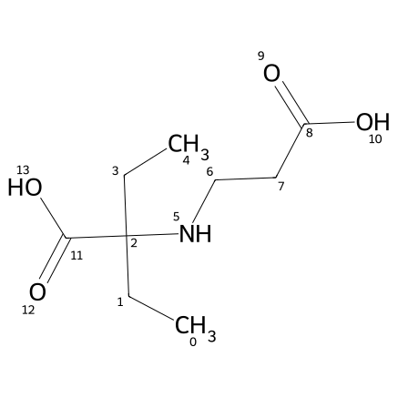 CCC(CC)(NCCC(=O)O)C(=O)O